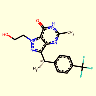 Cc1nc2c([C@@H](C)c3ccc(C(F)(F)F)cc3)nn(CCO)c2c(=O)[nH]1